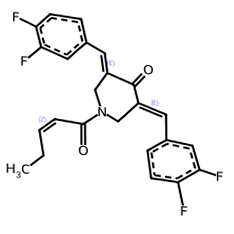 CC/C=C\C(=O)N1C/C(=C\c2ccc(F)c(F)c2)C(=O)/C(=C/c2ccc(F)c(F)c2)C1